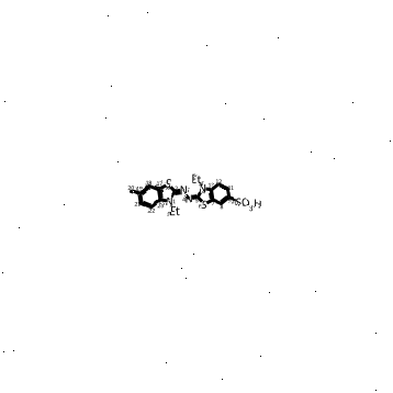 CCn1c(=NN=c2sc3cc(S(=O)(=O)O)ccc3n2CC)sc2cc(C)ccc21